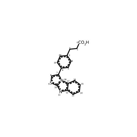 O=C(O)CCc1ccc(-c2csc3nc4ccccc4n23)cc1